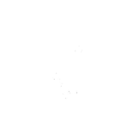 CCCCc1ccc(CCCCOCc2cccc(/C=C/c3cccc(N)c3)n2)cc1